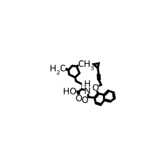 C=C1CC(C)CC(CC[C@H](NC(=O)c2ccc3ccccc3c2OCC#CC2CC2)C(=O)O)C1